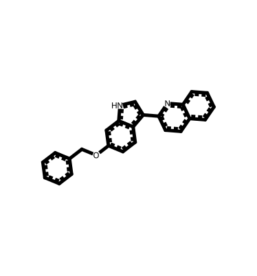 c1ccc(COc2ccc3c(-c4ccc5ccccc5n4)c[nH]c3c2)cc1